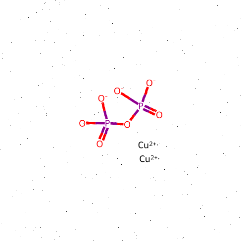 O=P([O-])([O-])OP(=O)([O-])[O-].[Cu+2].[Cu+2]